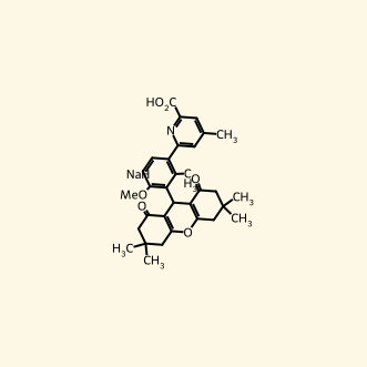 COc1ccc(-c2cc(C)cc(C(=O)O)n2)c(C)c1C1C2=C(CC(C)(C)CC2=O)OC2=C1C(=O)CC(C)(C)C2.[NaH]